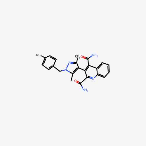 Cc1c(-c2c(C(N)=O)nc3ccccc3c2C(N)=O)c(C(F)(F)F)nn1Cc1ccc(C#N)cc1